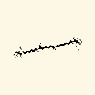 CC(C)(Br)C(=O)OCCCCCCOC(=O)CCCCC(=O)OCCCCCCOC(=O)C(C)(C)Br